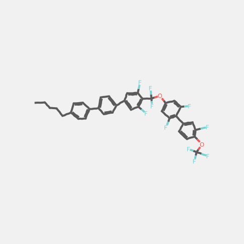 CCCCCc1ccc(-c2ccc(-c3cc(F)c(C(F)(F)Oc4cc(F)c(-c5ccc(OC(F)(F)F)c(F)c5)c(F)c4)c(F)c3)cc2)cc1